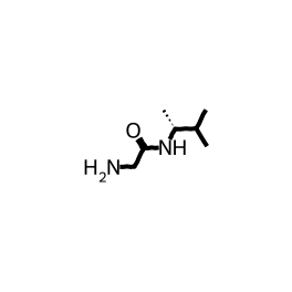 CC(C)[C@@H](C)NC(=O)CN